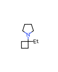 CCC1(N2CCCC2)CCC1